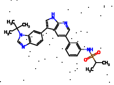 CC(C)S(=O)(=O)Nc1cccc(-c2cnc3[nH]cc(-c4ccc5ncn(C(C)(C)C)c5c4)c3c2)c1